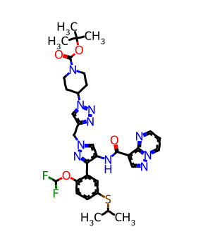 CC(C)Sc1ccc(OC(F)F)c(-c2nn(Cc3cn(C4CCN(C(=O)OC(C)(C)C)CC4)nn3)cc2NC(=O)c2cnn3cccnc23)c1